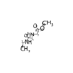 CCNC(=O)CNCC(=O)OC